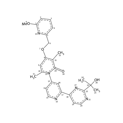 COc1cccc(COc2cc(C)n(-c3ccnc(-c4ccnc(C(C)(C)O)n4)c3)c(=O)c2C)n1